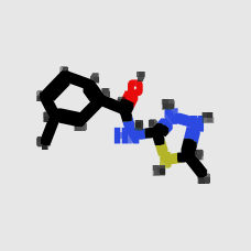 [CH2]c1cccc(C(=O)Nc2nnc(C)s2)c1